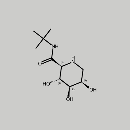 CC(C)(C)NC(=O)[C@H]1NC[C@@H](O)[C@@H](O)[C@@H]1O